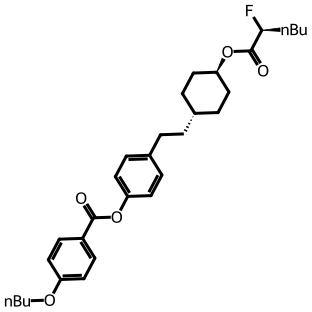 CCCCOc1ccc(C(=O)Oc2ccc(CC[C@H]3CC[C@H](OC(=O)[C@@H](F)CCCC)CC3)cc2)cc1